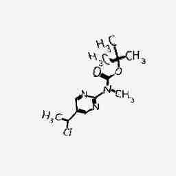 CC(Cl)c1cnc(N(C)C(=O)OC(C)(C)C)nc1